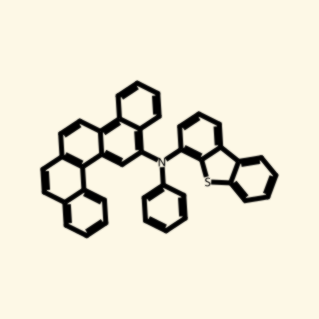 c1ccc(N(c2cc3c(ccc4ccc5ccccc5c43)c3ccccc23)c2cccc3c2sc2ccccc23)cc1